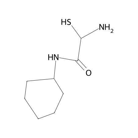 NC(S)C(=O)NC1CCCCC1